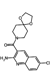 Nc1nc2ccc(Cl)cc2cc1C(=O)N1CCC2(CC1)OCCO2